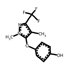 Cc1c(C(F)(F)F)nn(C)c1Oc1ccc(O)cc1